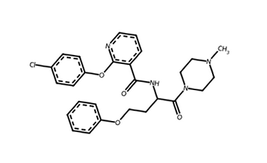 CN1CCN(C(=O)C(CCOc2ccccc2)NC(=O)c2cccnc2Oc2ccc(Cl)cc2)CC1